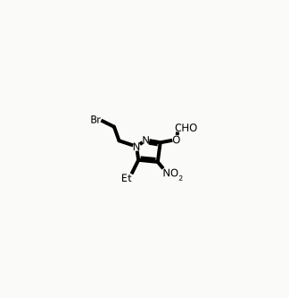 CCc1c([N+](=O)[O-])c(OC=O)nn1CCBr